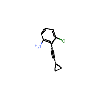 Nc1cccc(Cl)c1C#CC1CC1